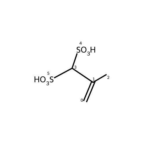 C=C(C)C(S(=O)(=O)O)S(=O)(=O)O